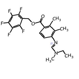 CCN(C)/C=N/c1ccc(C(=O)OCc2c(F)c(F)c(F)c(F)c2F)c(C)c1C